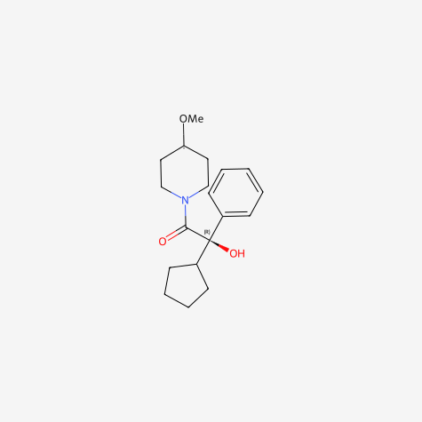 CO[C]1CCN(C(=O)[C@](O)(c2ccccc2)C2CCCC2)CC1